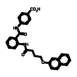 O=C(CCCOc1ccc2ccccc2c1)Nc1ccccc1C(=O)Nc1ccc(C(=O)O)cc1